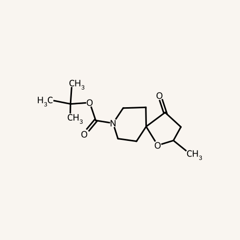 CC1CC(=O)C2(CCN(C(=O)OC(C)(C)C)CC2)O1